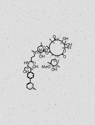 CC[C@H]1OC(=O)[C@H](C)C([C@H]2C[C@@](C)(OC)[C@@H](O)[C@H](C)O2)[C@H](C)[C@@H](O[C@@H]2O[C@H](C)C[C@H](N(C)CCC(=O)N[C@H](CO)[C@H](O)c3ccc(C4=CCCN(C)C4)cc3)[C@H]2O)[C@](C)(OC)C[C@@H](C)C(=O)[C@H](C)[C@@H](O)[C@]1(C)O